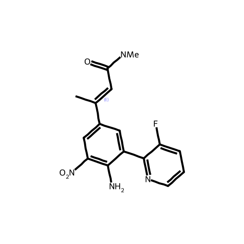 CNC(=O)/C=C(\C)c1cc(-c2ncccc2F)c(N)c([N+](=O)[O-])c1